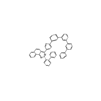 c1ccc(-c2cccc(-c3cccc(-c4cccc(-c5ccc(-c6nc(-c7ccccc7-c7ccccc7)nc7c6ccc6ccccc67)cc5)c4)c3)c2)cc1